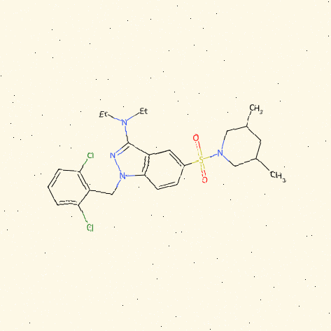 CCN(CC)c1nn(Cc2c(Cl)cccc2Cl)c2ccc(S(=O)(=O)N3CC(C)CC(C)C3)cc12